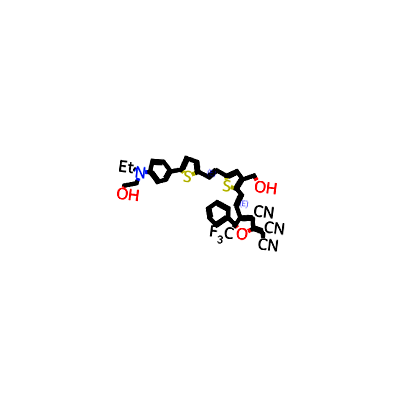 CCN(CCO)c1ccc(-c2ccc(/C=C/c3cc(CO)c(/C=C/C4=C(C#N)C(=C(C#N)C#N)OC4(c4ccccc4)C(F)(F)F)s3)s2)cc1